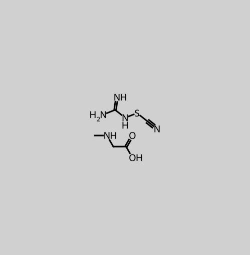 CNCC(=O)O.N#CSNC(=N)N